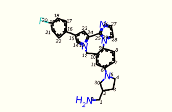 NCC1CCN(c2ccc3c(c2)Cn2cc(-c4ccc(F)cc4)cc2-c2nccn2-3)C1